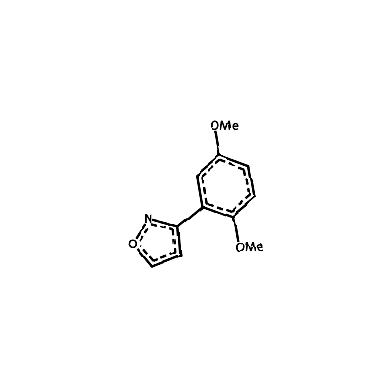 COc1ccc(OC)c(-c2ccon2)c1